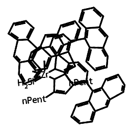 CCCCCC1=Cc2c(-c3c4ccccc4cc4ccccc34)ccc(-c3c4ccccc4cc4ccccc34)c2[CH]1[Zr]([CH3])([CH3])(=[SiH2])[CH]1C(CCCCC)=Cc2c(-c3c4ccccc4cc4ccccc34)ccc(-c3c4ccccc4cc4ccccc34)c21